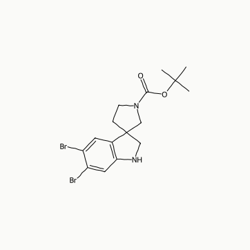 CC(C)(C)OC(=O)N1CCC2(CNc3cc(Br)c(Br)cc32)C1